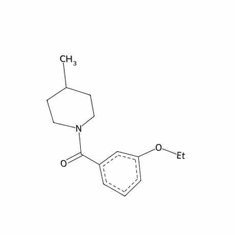 CCOc1cccc(C(=O)N2CCC(C)CC2)c1